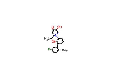 COc1ccc(F)cc1-c1cccc(-n2cc(O)c(=O)cc2C(C)O)c1